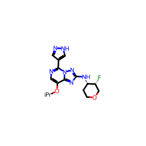 CC(C)Oc1cnc(-c2cn[nH]c2)n2nc(N[C@H]3CCOC[C@H]3F)nc12